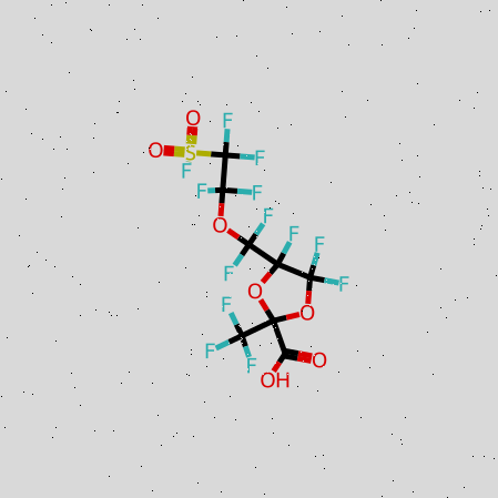 O=C(O)C1(C(F)(F)F)OC(F)(F)C(F)(C(F)(F)OC(F)(F)C(F)(F)S(=O)(=O)F)O1